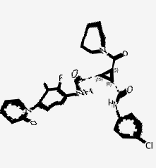 CC1C(F)=C(NC(=O)[C@H]2[C@@H](C(=O)Nc3ccc(Cl)cc3)[C@@H]2C(=O)N2CCCCCC2)C=CC1n1ccccc1=O